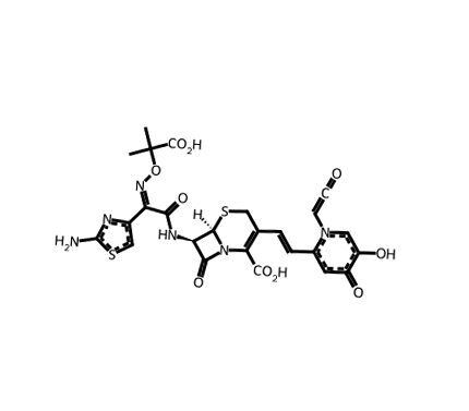 CC(C)(O/N=C(\C(=O)N[C@@H]1C(=O)N2C(C(=O)O)=C(C=Cc3cc(=O)c(O)cn3C=C=O)CS[C@H]12)c1csc(N)n1)C(=O)O